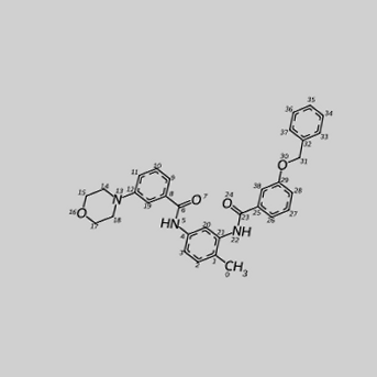 Cc1ccc(NC(=O)c2cccc(N3CCOCC3)c2)cc1NC(=O)c1cccc(OCc2ccccc2)c1